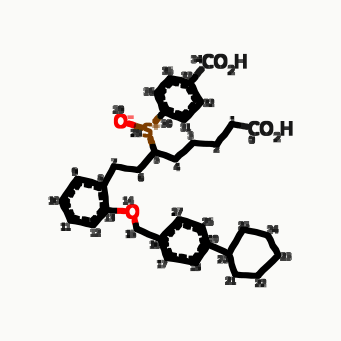 O=C(O)CCCCC(CCc1ccccc1OCc1ccc(C2CCCCC2)cc1)[S+]([O-])c1ccc(C(=O)O)cc1